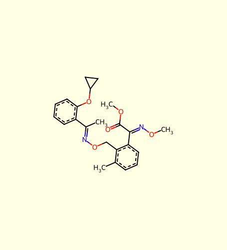 CO/N=C(/C(=O)OC)c1cccc(C)c1CO/N=C(\C)c1ccccc1OC1CC1